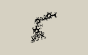 Cc1cc(N(OC(=O)C(C)(C)C)OC(=O)C(C)(C)C)nc(C)c1CNc1cc(OCc2cn3cc(C4CC4)ccc3n2)ccn1